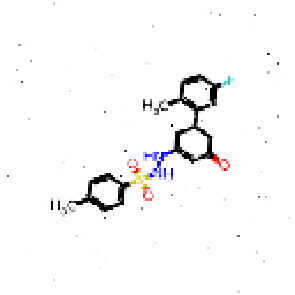 Cc1ccc(S(=O)(=O)NNC2=CC(=O)CC(c3cc(F)ccc3C)C2)cc1